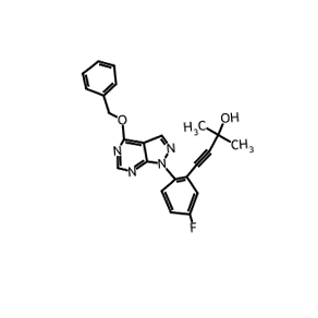 CC(C)(O)C#Cc1cc(F)ccc1-n1ncc2c(OCc3ccccc3)ncnc21